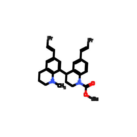 CC(C)/C=C/c1ccc2c(c1)C(c1cc(/C=C/C(C)C)cc3c1N(C)CCC3)CCN2C(=O)OC(C)(C)C